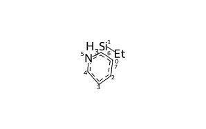 CC[SiH3].c1ccncc1